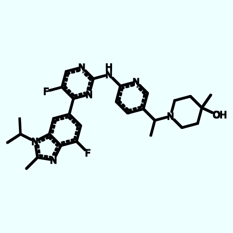 Cc1nc2c(F)cc(-c3nc(Nc4ccc(C(C)N5CCC(C)(O)CC5)cn4)ncc3F)cc2n1C(C)C